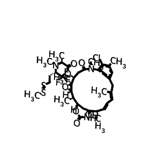 CSSCC[C@H](N(C)[C@@H](C)C(=O)O[C@H]1CC(=O)N(C)c2cc(cc(C)c2Cl)C/C(C)=C/C=C/[C@@H](C)[C@@]2(O)C[C@H](OC(=O)N2)[C@@H](C)[C@@H]2O[C@@]12C)C(F)(F)F